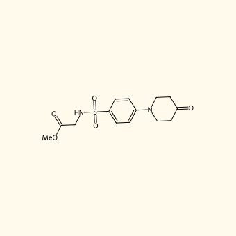 COC(=O)CNS(=O)(=O)c1ccc(N2CCC(=O)CC2)cc1